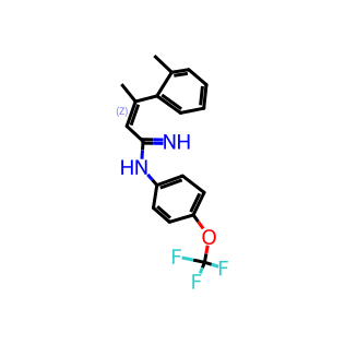 C/C(=C/C(=N)Nc1ccc(OC(F)(F)F)cc1)c1ccccc1C